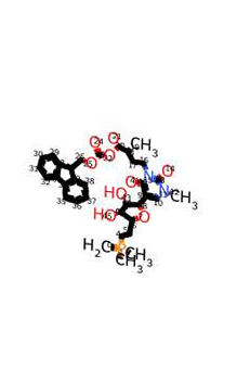 C=P(C)(C)CCC1OC(c2cn(C)c(=O)n(CCC(C)C(=O)OC(=O)OCC3c4ccccc4-c4ccccc43)c2=O)[C@H](O)[C@@H]1O